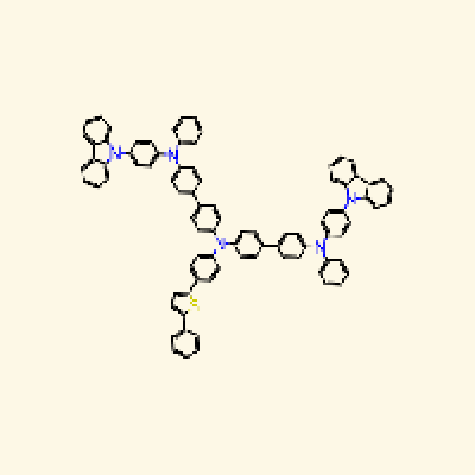 c1ccc(-c2ccc(-c3ccc(N(c4ccc(-c5ccc(N(c6ccccc6)c6ccc(-n7c8ccccc8c8ccccc87)cc6)cc5)cc4)c4ccc(-c5ccc(N(c6ccccc6)c6ccc(-n7c8ccccc8c8ccccc87)cc6)cc5)cc4)cc3)s2)cc1